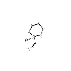 C=C[Si]1(S)CCCCO1